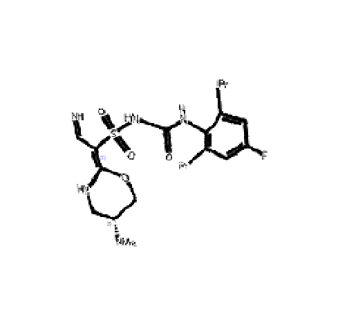 CN[C@@H]1CN/C(=C(\C=N)S(=O)(=O)NC(=O)Nc2c(C(C)C)cc(F)cc2C(C)C)OC1